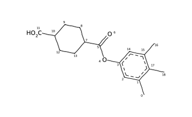 Cc1cc(OC(=O)C2CCC(C(=O)O)CC2)cc(C)c1C